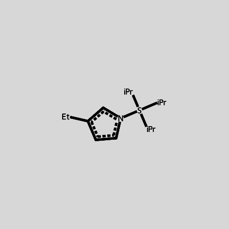 CCc1ccn(S(C(C)C)(C(C)C)C(C)C)c1